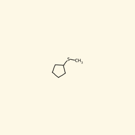 CS[C]1CCCC1